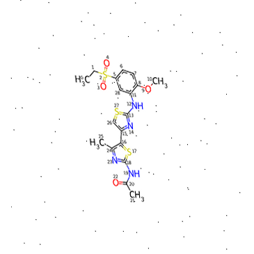 CCS(=O)(=O)c1ccc(OC)c(Nc2nc(-c3sc(NC(C)=O)nc3C)cs2)c1